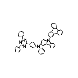 c1ccc(-c2nc(-c3ccccc3)nc(-c3ccc(-n4c5ccccc5c5c6c7ccccc7n(-c7ccc8c9ccccc9c9ccccc9c8c7)c6ccc54)cc3)n2)cc1